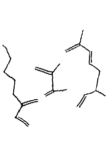 C=C(C)C(=C)C.C=CC(=C)CCCCC.C=CC(C)C/C=C/C(=C)C